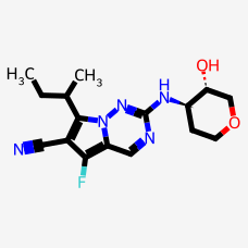 CCC(C)c1c(C#N)c(F)c2cnc(N[C@@H]3CCOC[C@H]3O)nn12